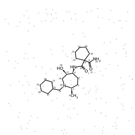 C[C@@H]1CC[C@H](NC(=O)C2(C(N)=O)CCCCC2)[C@H](O)CN1CC1CCCCC1